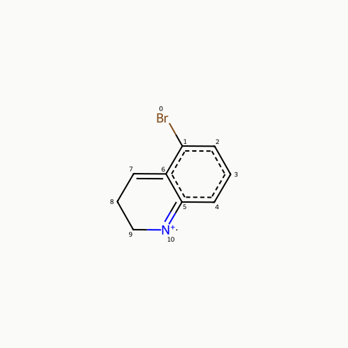 Brc1cccc2c1=CCC[N+]=2